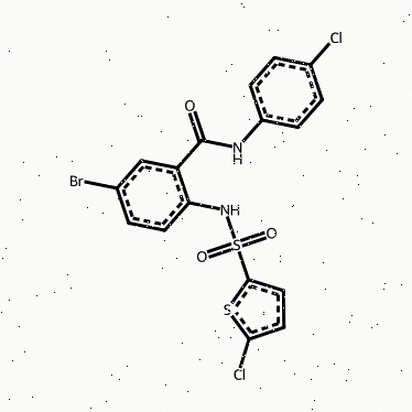 O=C(Nc1ccc(Cl)cc1)c1cc(Br)ccc1NS(=O)(=O)c1ccc(Cl)s1